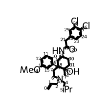 C=CC[N@@+]1(CC(C)C)CC[C@]2(c3cccc(OC)c3)C[C@H](NC(=O)Cc3ccc(Cl)c(Cl)c3)CCC2(O)C1